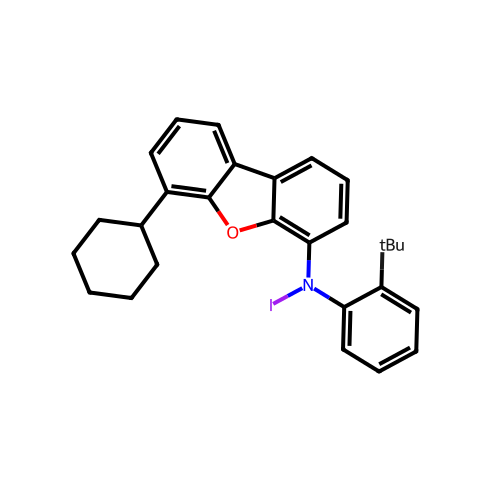 CC(C)(C)c1ccccc1N(I)c1cccc2c1oc1c(C3CCCCC3)cccc12